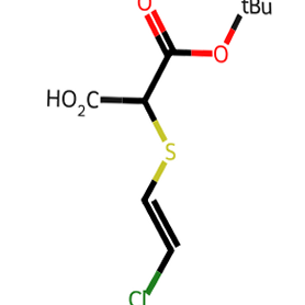 CC(C)(C)OC(=O)C(SC=CCl)C(=O)O